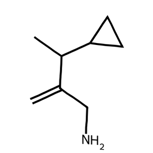 C=C(CN)C(C)C1CC1